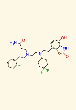 NC(=O)CCN(CCc1ccccc1F)CCN(CCc1ccc(O)c2[nH]c(=O)sc12)C1CCC(F)(F)CC1